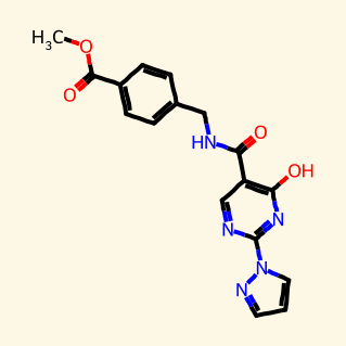 COC(=O)c1ccc(CNC(=O)c2cnc(-n3cccn3)nc2O)cc1